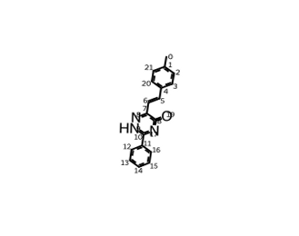 Cc1ccc(/C=C/c2n[nH]c(-c3ccccc3)nc2=O)cc1